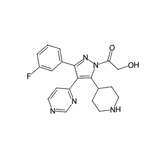 O=C(CO)n1nc(-c2cccc(F)c2)c(-c2ccncn2)c1C1CCNCC1